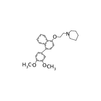 COc1ccc(-c2ccc(OCCN3CCCCC3)c3ccccc23)cc1OC